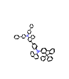 c1ccc(-c2ccc(N(c3ccc(-c4ccccc4)cc3)c3ccc(-c4ccc(N(c5ccc6c(c5)C(c5ccccc5)(c5ccccc5)c5ccccc5-6)c5cccc6ccccc56)cc4)c4ccccc34)cc2)cc1